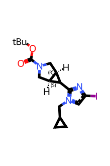 CC(C)(C)OC(=O)N1C[C@@H]2C(c3nc(I)cn3CC3CC3)[C@@H]2C1